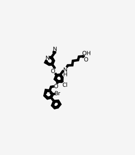 N#Cc1cc(COc2cc(OCc3cccc(-c4ccccc4)c3Br)c(Cl)cc2CNCCCCCC(=O)O)ccn1